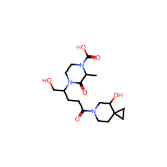 CC1C(=O)N(C(CO)CCC(=O)N2CCC3(CC3)C(O)C2)CCN1C(=O)O